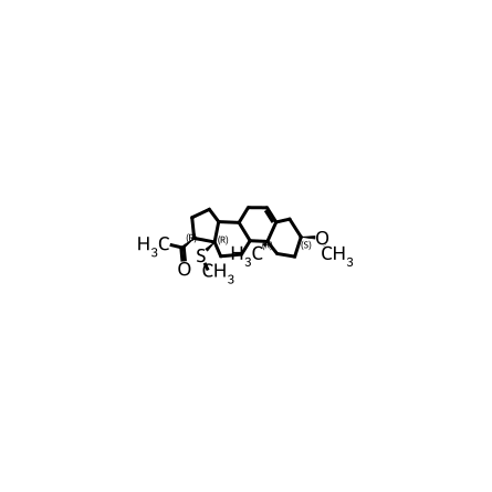 CO[C@H]1CC[C@@]2(C)C(=CCC3C2CC[C@@]2(SC)C3CC[C@@H]2C(C)=O)C1